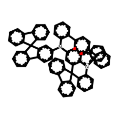 c1ccc(-c2ccc(-c3ccccc3N(c3ccc4c(c3)C3(c5ccccc5-c5ccccc53)c3ccccc3-4)c3cc4c5c(c3)c3ccccc3n5-c3ccccc3C43c4ccccc4-c4ccccc43)cc2)cc1